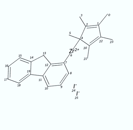 CC1=C(C)[C](C)([Zr+2][c]2cccc3c2Cc2ccccc2-3)C(C)=C1C.[I-].[I-]